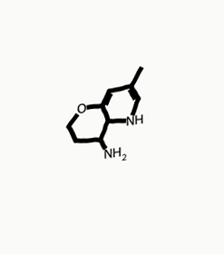 CC1=CNC2C(=C1)OCCC2N